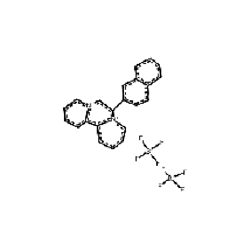 F[B-](F)(F)F.F[B-](F)(F)F.c1ccc2cc(-c3c[n+]4ccccc4c4cccc[n+]34)ccc2c1